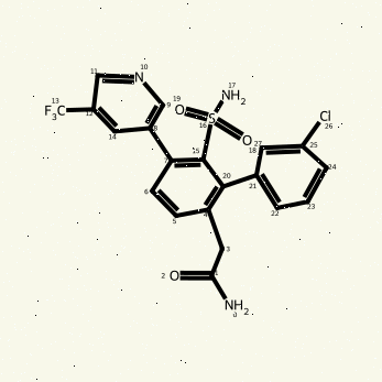 NC(=O)Cc1ccc(-c2cncc(C(F)(F)F)c2)c(S(N)(=O)=O)c1-c1cccc(Cl)c1